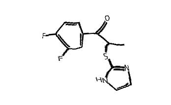 CC(Sc1ncc[nH]1)C(=O)c1ccc(F)c(F)c1